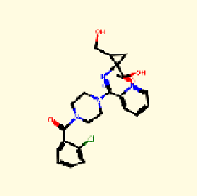 O=C(c1ccccc1Cl)N1CCN(/C(=N/C2(C(=O)O)CC2CO)c2ccccn2)CC1